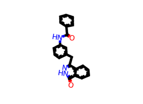 O=C(Nc1cccc(Cc2n[nH]c(=O)c3ccccc23)c1)c1ccccc1